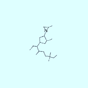 CCC(C(C)CCC(C)(C)CC)C1CC(C)C(N2CC2C)C1